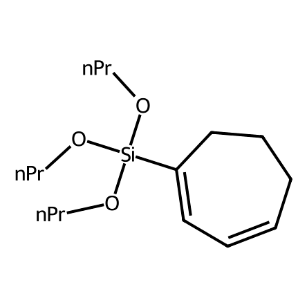 CCCO[Si](OCCC)(OCCC)C1=CC=CCCC1